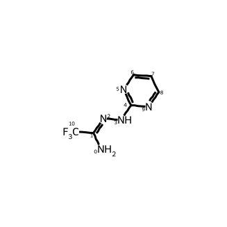 N/C(=N\Nc1ncccn1)C(F)(F)F